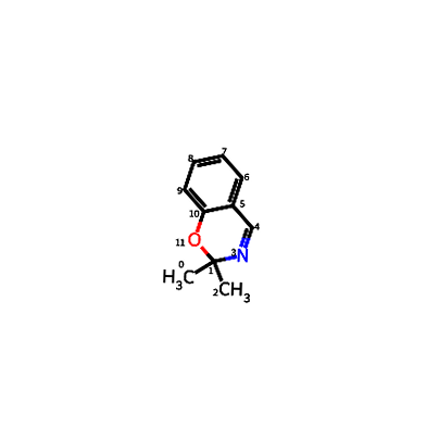 CC1(C)N=Cc2ccccc2O1